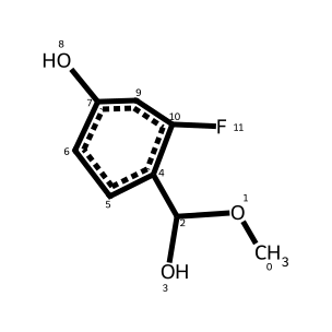 COC(O)c1ccc(O)cc1F